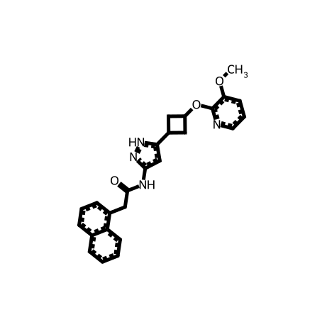 COc1cccnc1OC1CC(c2cc(NC(=O)Cc3cccc4ccccc34)n[nH]2)C1